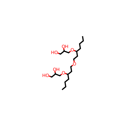 CCCCC(CCOCCC(CCCC)OCC(O)CO)OCC(O)CO